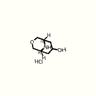 Cl.OC1C[C@H]2COC[C@@H](C1)N2